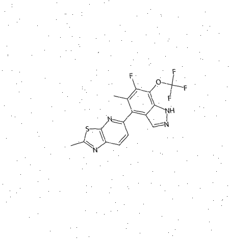 Cc1nc2ccc(-c3c(C)c(F)c(OC(F)(F)F)c4[nH]ncc34)nc2s1